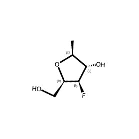 C[C@@H]1O[C@H](CO)[C@H](F)[C@H]1O